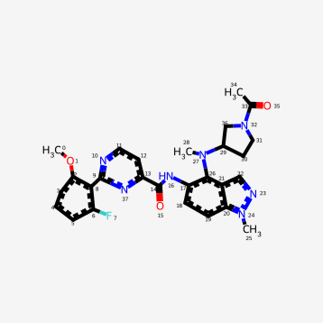 COc1cccc(F)c1-c1nccc(C(=O)Nc2ccc3c(cnn3C)c2N(C)C2CCN(C(C)=O)C2)n1